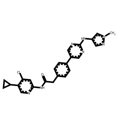 Cn1cc(Nc2ncc(-c3ccc(CC(=O)Nc4cc(Cl)c(C5CC5)cn4)cc3)cn2)cn1